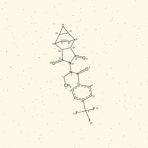 CCN(C(=O)c1ccc(C(F)(F)F)cc1)N1C(=O)C2C3C=CC(C4CC34)C2C1=O